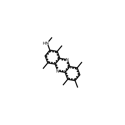 CNc1cc(C)c2nc3c(C)c(C)cc(C)c3nc2c1C